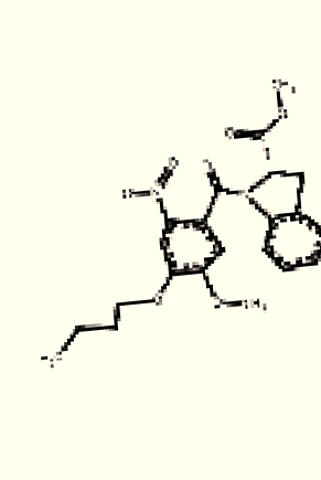 CCCCOc1cc([N+](=O)[O-])c(C(=O)N2c3ccccc3C[C@H]2C(=O)OC)cc1OC